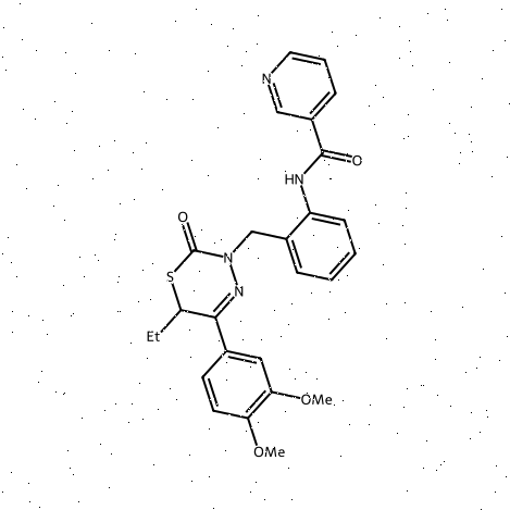 CCC1SC(=O)N(Cc2ccccc2NC(=O)c2cccnc2)N=C1c1ccc(OC)c(OC)c1